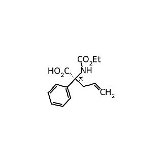 C=CC[C@@](NC(=O)OCC)(C(=O)O)c1ccccc1